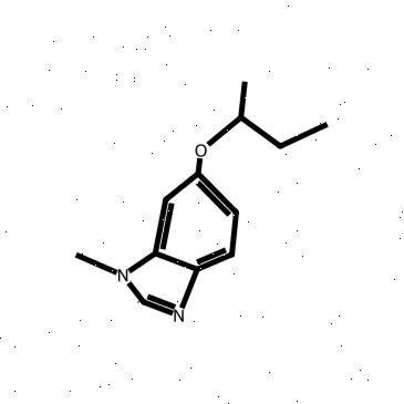 CCC(C)Oc1ccc2n[c]n(C)c2c1